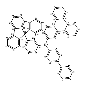 c1ccc(-c2ccc(N(c3ccc4c5ccccc5c5ccccc5c4c3)c3cccc4c3-c3ccccc3C43c4ccccc4-c4ccccc43)cc2)cc1